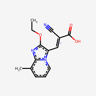 CCOc1nc2c(C)cccn2c1/C=C(\C#N)C(=O)O